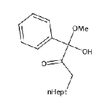 CCCCCCCCC(=O)C(O)(OC)c1ccccc1